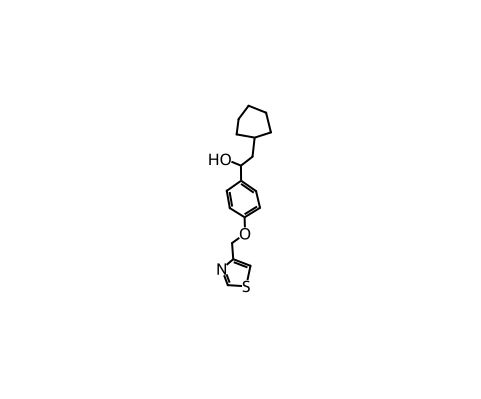 OC(CC1CCCCC1)c1ccc(OCc2cscn2)cc1